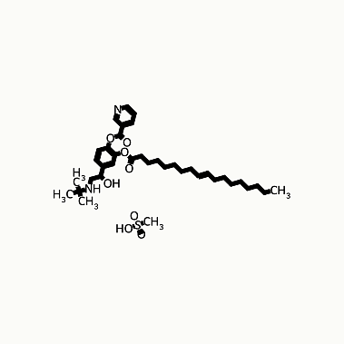 CCCCCCCCC=CCCCCCCCC(=O)Oc1cc(C(O)CNC(C)(C)C)ccc1OC(=O)c1cccnc1.CS(=O)(=O)O